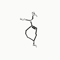 CP(C)C1=CC[C@@H](N)CC1